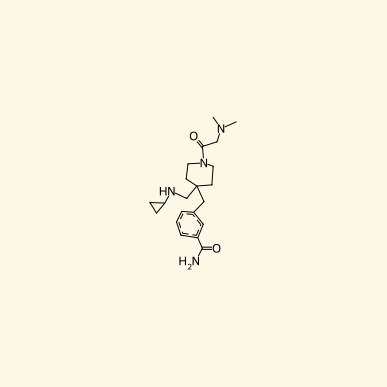 CN(C)CC(=O)N1CCC(CNC2CC2)(Cc2cccc(C(N)=O)c2)CC1